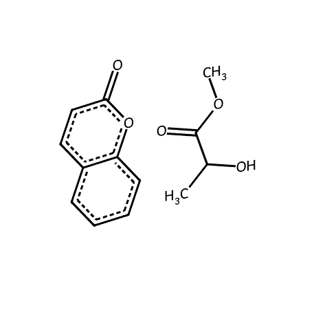 COC(=O)C(C)O.O=c1ccc2ccccc2o1